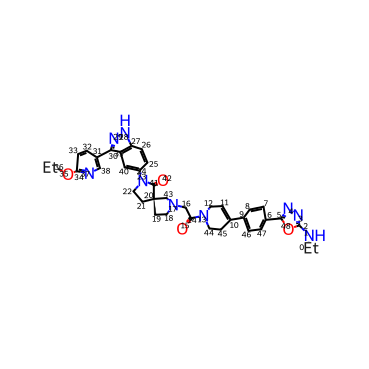 CCNc1nnc(-c2ccc(C3=CCN(C(=O)CN4CC[C@]5(CCN(c6ccc7[nH]nc(-c8ccc(OCC)nc8)c7c6)C5=O)C4)CC3)cc2)o1